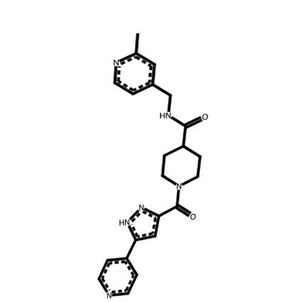 Cc1cc(CNC(=O)C2CCN(C(=O)c3cc(-c4ccncc4)[nH]n3)CC2)ccn1